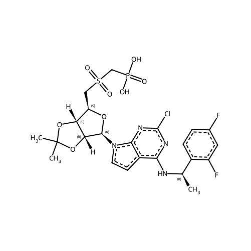 C[C@@H](Nc1nc(Cl)nc2c1ccn2[C@@H]1O[C@H](CS(=O)(=O)CP(=O)(O)O)[C@H]2OC(C)(C)O[C@H]21)c1ccc(F)cc1F